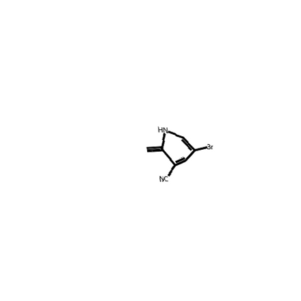 C=C1NC=C(Br)C=C1C#N